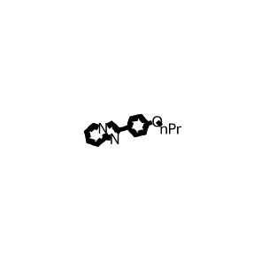 [CH2]CCOc1ccc(-c2cn3ccccc3n2)cc1